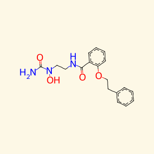 NC(=O)N(O)CCNC(=O)c1ccccc1OCCc1ccccc1